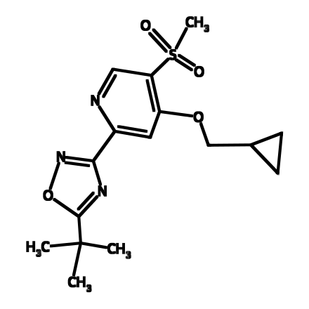 CC(C)(C)c1nc(-c2cc(OCC3CC3)c(S(C)(=O)=O)cn2)no1